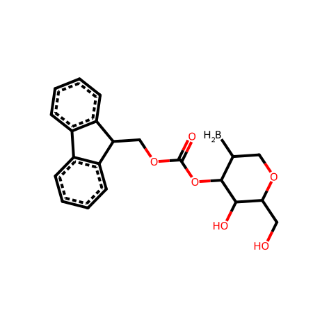 BC1COC(CO)C(O)C1OC(=O)OCC1c2ccccc2-c2ccccc21